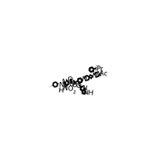 CC(=O)N1CCN(C2CC3(CCN(c4ccc(C(=O)CS(=O)(=O)c5cnc(NC[C@H]6CC[C@@H](C)CC6)c([N+](=O)[O-])c5)c(Oc5cnc6[nH]ccc6c5)c4)CC3)C2)[C@H](c2ccccc2C(C)C)C1